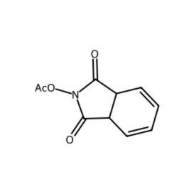 CC(=O)ON1C(=O)C2C=CC=CC2C1=O